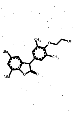 Cc1cc(C2C(=O)Oc3c2cc(C(C)(C)C)cc3C(C)(C)C)cc(C)c1OCCO